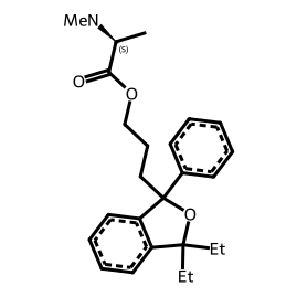 CCC1(CC)OC(CCCOC(=O)[C@H](C)NC)(c2ccccc2)c2ccccc21